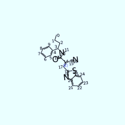 CCCC(c1ccccc1)N(C)C(=O)/C(C#N)=C/c1nc2ccccc2s1